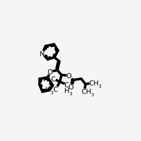 CC(C)CC(=O)OC(C(=Cc1cccnc1)Oc1ccccc1)C(C)(C)C